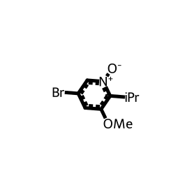 COc1cc(Br)c[n+]([O-])c1C(C)C